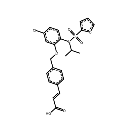 CC(C)N(c1ccc(Cl)cc1OCc1ccc(C=CC(=O)O)cc1)S(=O)(=O)c1ccco1